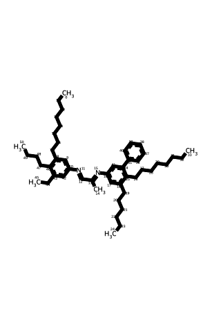 CCCCCCCCc1cc(N=CC(C)=Nc2cc(CCCCCC)c(CCCCCCCC)c(-c3ccccc3)c2)cc(CC)c1CCCC